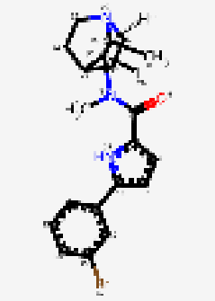 C[C@H]1[C@H](N(C)C(=O)c2ccc(-c3cccc(Br)c3)[nH]2)C2CCN1CC2